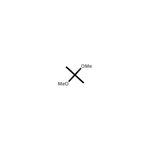 [CH2]OC(C)(C)O[CH2]